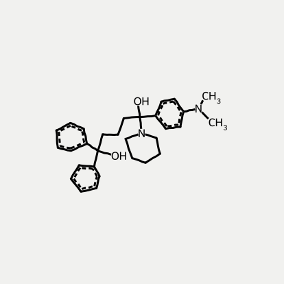 CN(C)c1ccc(C(O)(CCCC(O)(c2ccccc2)c2ccccc2)N2CCCCC2)cc1